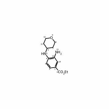 CCOC(=O)c1ccc(NC2CCOCC2)c(N)c1